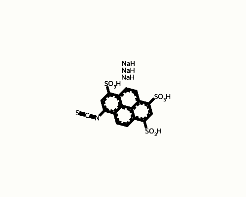 O=S(=O)(O)c1cc(N=C=S)c2ccc3c(S(=O)(=O)O)cc(S(=O)(=O)O)c4ccc1c2c34.[NaH].[NaH].[NaH]